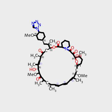 COC1C(=O)C(C)C[C@H](C)/C=C/C=C/C=C(\C)[C@@H](OC)C[C@@H]2CC[C@@H](C)[C@@](O)(O2)C(=O)C(=O)N2CCCCC2C(=O)O[C@H]([C@H](C)C[C@@H]2CCC(n3cnnn3)[C@H](OC)C2)CC(=O)[C@H](C)/C=C(\C)[C@H]1O